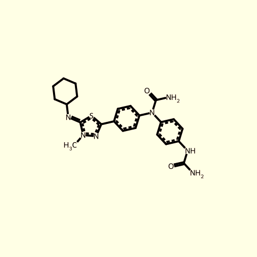 Cn1nc(-c2ccc(N(C(N)=O)c3ccc(NC(N)=O)cc3)cc2)sc1=NC1CCCCC1